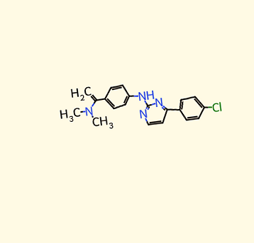 C=C(c1ccc(Nc2nccc(-c3ccc(Cl)cc3)n2)cc1)N(C)C